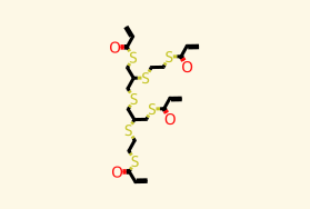 C=CC(=O)SCCSC(CSCC(CSC(=O)C=C)SCCSC(=O)C=C)CSC(=O)C=C